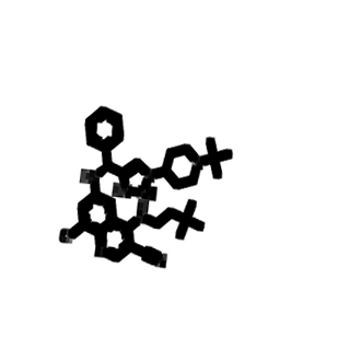 CC(C)(C)CCNc1c(C#N)cnc2c(Cl)cc(N[C@H](C3=CN(C4CCN(C(C)(C)C)CC4)NN3)c3ccccc3)cc12